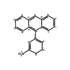 NC1=CC(c2c3ccccc3cc3ccccc23)=CC[CH]1